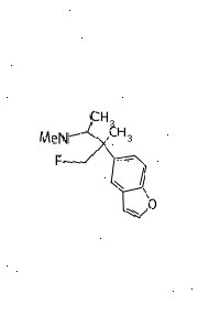 CNC(C)C(C)(CF)c1ccc2occc2c1